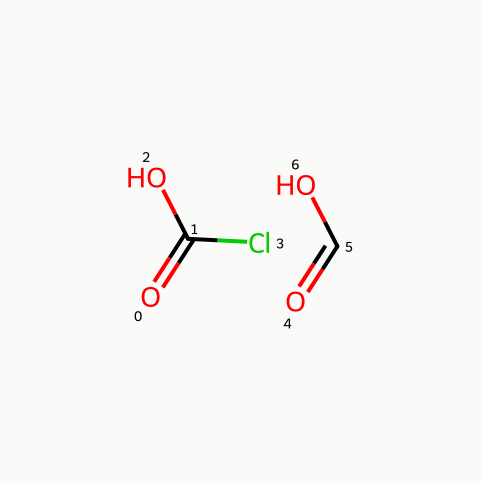 O=C(O)Cl.O=CO